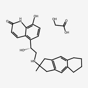 CC1(NC[C@H](O)c2ccc(O)c3[nH]c(=O)ccc23)Cc2cc3c(cc2C1)CCCC3.O=C(O)CO